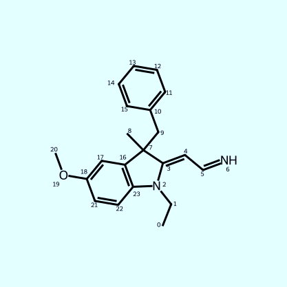 CCN1/C(=C\C=N)C(C)(Cc2ccccc2)c2cc(OC)ccc21